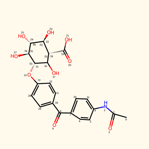 CC(=O)Nc1ccc(C(=O)c2ccc(O[C@H]3C(O)[C@@H](C(=O)O)[C@H](O)[C@@H](O)[C@@H]3O)cc2)cc1